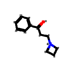 O=C(CCN1CCC1)c1ccccc1